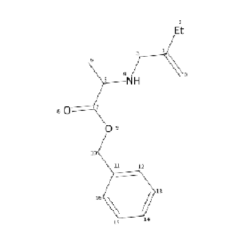 C=C(CC)CNC(C)C(=O)OCc1ccccc1